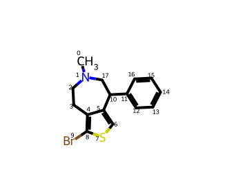 CN1CCc2c(csc2Br)C(c2ccccc2)C1